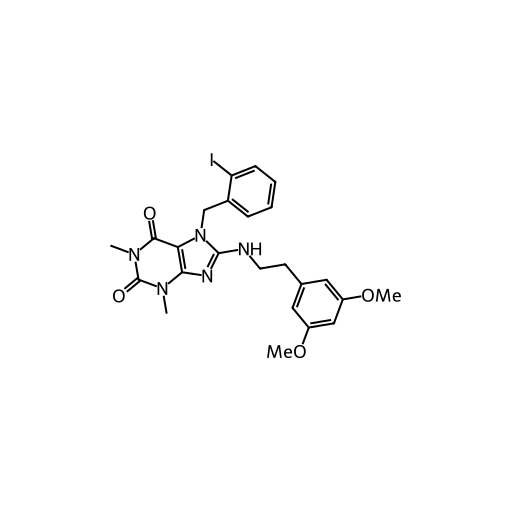 COc1cc(CCNc2nc3c(c(=O)n(C)c(=O)n3C)n2Cc2ccccc2I)cc(OC)c1